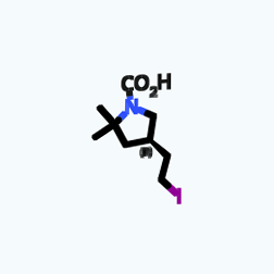 CC1(C)C[C@H](CCI)CN1C(=O)O